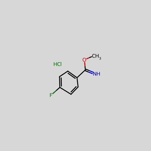 COC(=N)c1ccc(F)cc1.Cl